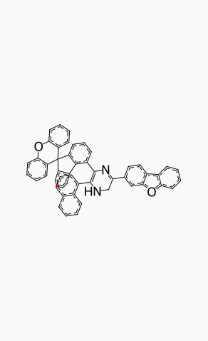 c1ccc2c(c1)Oc1ccccc1C21c2ccccc2-c2c(C3=C(c4cccc5ccccc45)NCC(c4ccc5c(c4)oc4ccccc45)=N3)cccc21